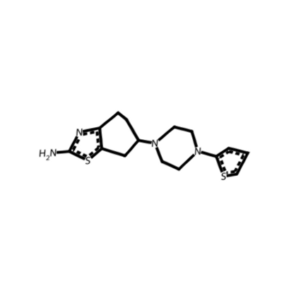 Nc1nc2c(s1)CC(N1CCN(c3cccs3)CC1)CC2